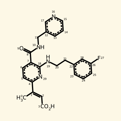 CC(=CC(=O)O)c1ccc(C(=O)NCc2cccnc2)c(NCCc2cccc(F)c2)n1